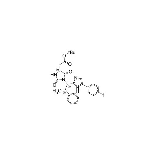 C[C@@H](c1ccccc1)[C@@H](c1ncc(-c2ccc(I)cc2)[nH]1)N1C(=O)N[C@H](CC(=O)OC(C)(C)C)C1=O